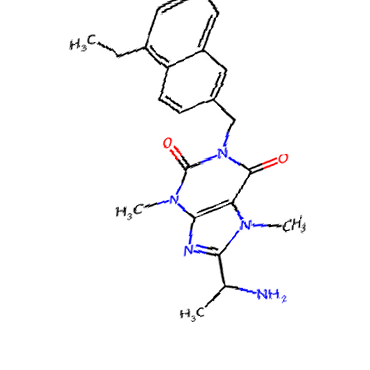 CCc1cccc2cc(Cn3c(=O)c4c(nc(C(C)N)n4C)n(C)c3=O)ccc12